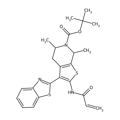 C=CC(=O)Nc1sc2c(c1-c1nc3ccccc3s1)CC(C)N(C(=O)OC(C)(C)C)C2C